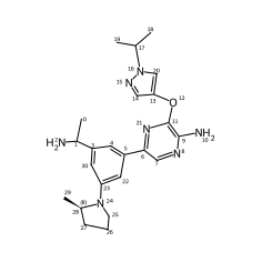 CC(N)c1cc(-c2cnc(N)c(Oc3cnn(C(C)C)c3)n2)cc(N2CCC[C@H]2C)c1